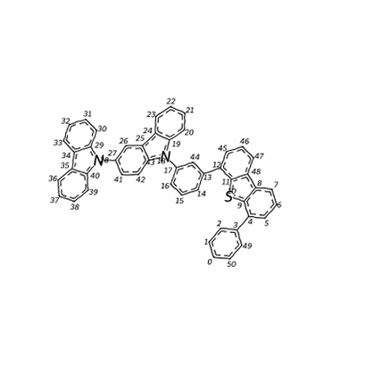 c1ccc(-c2cccc3c2sc2c(-c4cccc(-n5c6ccccc6c6cc(-n7c8ccccc8c8ccccc87)ccc65)c4)cccc23)cc1